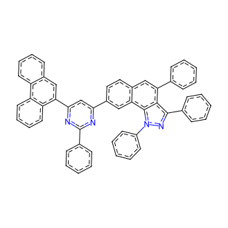 c1ccc(-c2nc(-c3ccc4cc(-c5ccccc5)c5c(-c6ccccc6)nn(-c6ccccc6)c5c4c3)cc(-c3cc4ccccc4c4ccccc34)n2)cc1